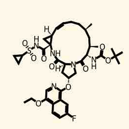 CCOc1cnc(O[C@@H]2C[C@H]3C(=O)N[C@]4(C(=O)NS(=O)(=O)C5CC5)C[C@H]4/C=C\CC[C@@H](C)C[C@@H](C)[C@H](NC(=O)OC(C)(C)C)C(=O)N3C2)c2cc(F)ccc12